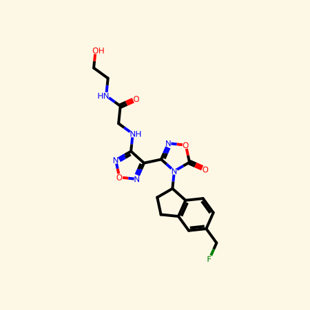 O=C(CNc1nonc1-c1noc(=O)n1C1CCc2cc(CF)ccc21)NCCO